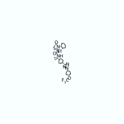 CCc1ccccc1N1C(=O)CS/C1=N\C(=O)NC1(c2ccc(-c3ncn(-c4ccc(OC(F)(F)F)cc4)n3)cc2)CC1